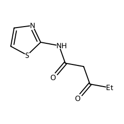 CCC(=O)CC(=O)Nc1nccs1